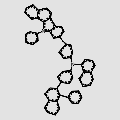 c1ccc(-c2c(-c3ccc(N(c4ccc(-c5ccc6c7ccc8ccccc8c7n(-c7ccccc7)c6c5)cc4)c4cccc5ccccc45)cc3)ccc3ccccc23)cc1